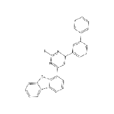 Ic1nc(-c2cccc(-c3ccccc3)c2)cc(-c2cccc3c2sc2ccccc23)n1